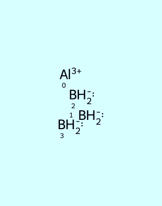 [Al+3].[BH2-].[BH2-].[BH2-]